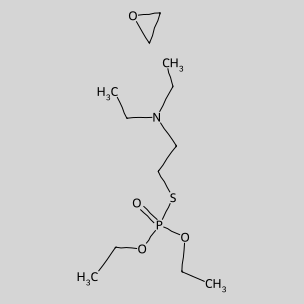 C1CO1.CCOP(=O)(OCC)SCCN(CC)CC